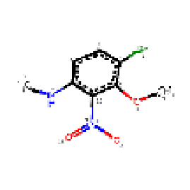 CNc1ccc(Br)c(OC)c1[N+](=O)[O-]